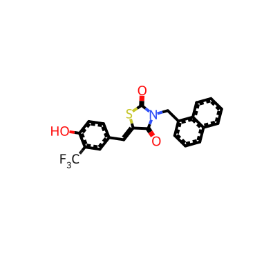 O=C1S/C(=C\c2ccc(O)c(C(F)(F)F)c2)C(=O)N1Cc1cccc2ccccc12